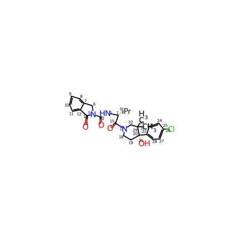 CC(C)[C@@H](NC(=O)N1Cc2ccccc2C1=O)C(=O)N1CC[C@](O)(c2ccc(Cl)cc2)C(C)(C)C1